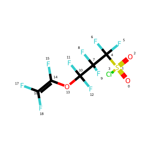 O=S(=O)(Cl)C(F)(F)C(F)(F)C(F)(F)OC(F)=C(F)F